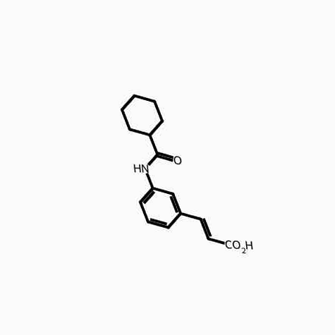 O=C(O)C=Cc1cccc(NC(=O)C2CCCCC2)c1